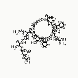 CCCCC(NC(=O)CCNC(=O)C(C)CCCCN(CC(=O)O)CC(=O)O)C(=O)NC1CCC(=O)NCCCCC(C(N)=O)NC(=O)C(Cc2c[nH]c3ccccc23)NC(=O)C(CCCNC(=N)N)NC(=O)[C@@H](Cc2ccccc2)NC(=O)C2C[C@@H](O)CN2C1=O